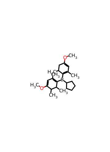 COC1=CC(C)=C(B(C2=C(C)C=C(OC)C(C)C2C)C2CCCC2)C(C)C1